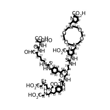 CCN(CCN(CC(=O)O)C(CNCC(=O)O)Cc1ccc(NC(=S)NCCN(CCNC(=S)Nc2cc(CN3CCOCCOCCN(Cc4cccc(C(=O)O)n4)CCOCCOCC3)nc(C(=O)O)c2)CC(=O)c2ccc(NC(=S)NCCCCC(C=O)NC(=O)NC(C=O)CC(=O)O)cc2)cc1)CC(=O)O